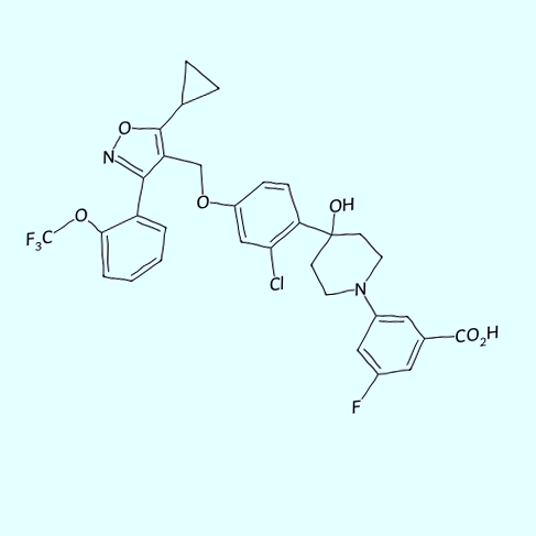 O=C(O)c1cc(F)cc(N2CCC(O)(c3ccc(OCc4c(-c5ccccc5OC(F)(F)F)noc4C4CC4)cc3Cl)CC2)c1